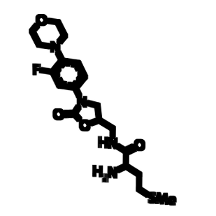 CSCCC(N)C(=O)NCC1CN(c2ccc(N3CCOCC3)c(F)c2)C(=O)O1